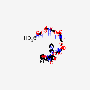 CCc1c2c3nc4ccc(cc14)OC(N1CCC(N4CCCCC4)CC1)C(OCCC(=O)NCC(=O)OCOCCC(=O)NCC(=O)OCOCCC(=O)NCC(=O)OCOCCC(=O)NCC(=O)O)C1Cc4cc-3n(c(=O)c4CO1)C2